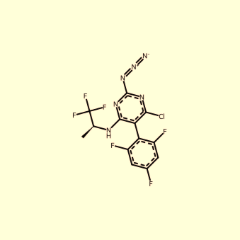 C[C@H](Nc1nc(N=[N+]=[N-])nc(Cl)c1-c1c(F)cc(F)cc1F)C(F)(F)F